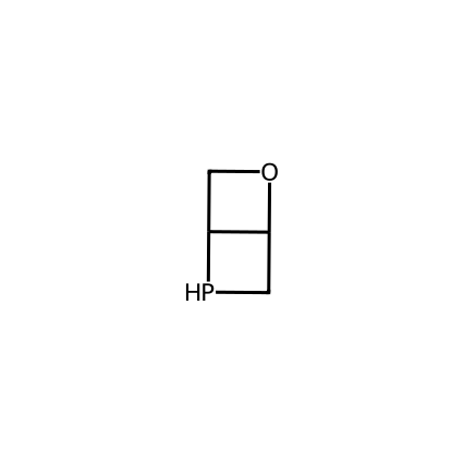 C1PC2COC12